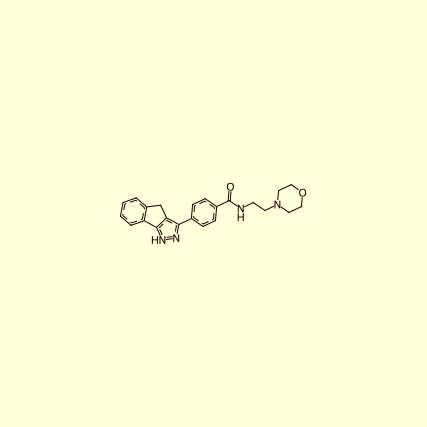 O=C(NCCN1CCOCC1)c1ccc(-c2n[nH]c3c2Cc2ccccc2-3)cc1